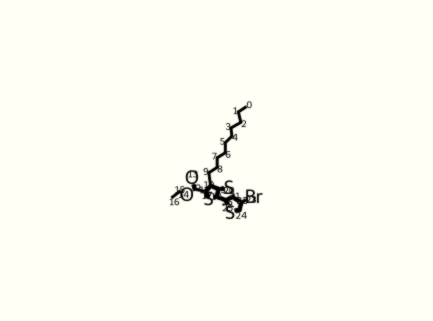 CCCCCCCCCCc1c(C(=O)OCC)sc2c1sc1c(Br)csc12